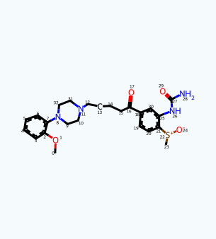 COc1ccccc1N1CCN(CCCCC(=O)c2ccc([S+](C)[O-])c(NC(N)=O)c2)CC1